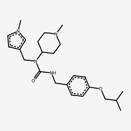 CC(C)COc1ccc(CNC(=O)N(Cc2ccn(C)c2)C2CCN(C)CC2)cc1